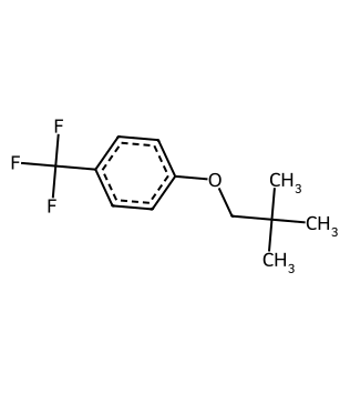 CC(C)(C)COc1ccc(C(F)(F)F)cc1